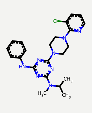 CC(C)N(C)c1nc(Nc2ccccc2)nc(N2CCN(c3ncccc3Cl)CC2)n1